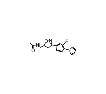 CC(=O)NCC1CC(c2ccc(-n3cccc3)c(F)c2)=NO1